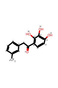 O=C(Cc1cccc(C(F)(F)F)c1)c1ccc(O)c(O)c1O